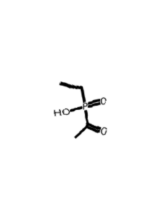 CCP(=O)(O)C(C)=O